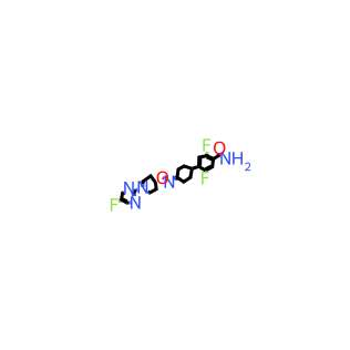 NC(=O)c1cc(F)c(C2CCC(=NOC3CCN(c4ncc(F)cn4)CC3)CC2)cc1F